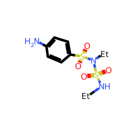 CCNS(=O)(=O)N(CC)S(=O)(=O)c1ccc(N)cc1